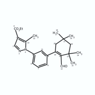 CCOC(=O)c1cnn(-c2cccc(C3=C(C=O)C(C)(C)CC(C)(C)C3)c2)c1C